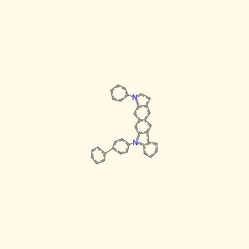 c1ccc(-c2ccc(-n3c4ccccc4c4cc5cc6ccn(-c7ccccc7)c6cc5cc43)cc2)cc1